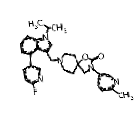 Cc1ccc(N2CC3(CCN(Cc4cn(C(C)C)c5cccc(-c6ccc(F)nc6)c45)CC3)OC2=O)cn1